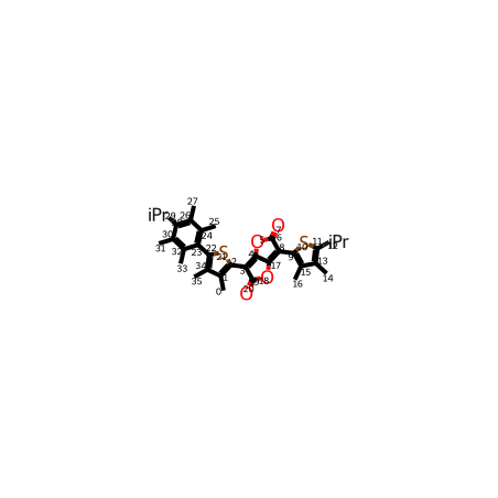 Cc1c(C2=C3OC(=O)C(c4sc(C(C)C)c(C)c4C)=C3OC2=O)sc(-c2c(C)c(C)c(C(C)C)c(C)c2C)c1C